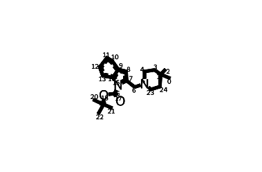 CC1(C)CCN(Cc2cc3ccccc3n2C(=O)OC(C)(C)C)CC1